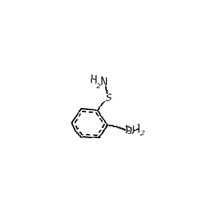 Bc1ccccc1SN